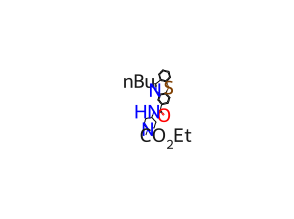 CCCCC1=Nc2cc(C(=O)NC3CCN(C(=O)OCC)CC3)ccc2Sc2ccccc21